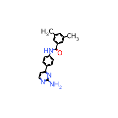 Cc1cc(C)cc(C(=O)Nc2ccc(-c3ccnc(N)n3)cc2)c1